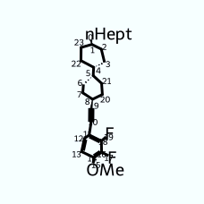 CCCCCCC[C@H]1CC[C@H]([C@H]2CC[C@H](C#Cc3ccc(OC)c(F)c3F)CC2)CC1